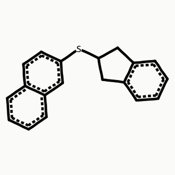 c1ccc2c(c1)CC(Sc1ccc3ccccc3c1)C2